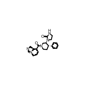 O=C(c1cccn2cncc12)N1CC[C@@H](c2ccccc2)[C@H](N2CCNC2=O)C1